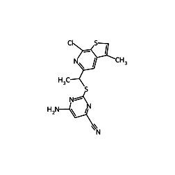 Cc1csc2c(Cl)nc(C(C)Sc3nc(N)cc(C#N)n3)cc12